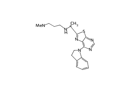 C=C(NCCCNC)c1nc2c(N3CCc4ccccc43)ncnc2s1